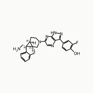 NC[C@]1(c2ccccc2F)[C@@H]2CCN(c3cnc4c(-c5ccc(O)c(F)c5)n[nH]c4n3)C[C@@H]21